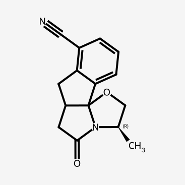 C[C@@H]1COC23c4cccc(C#N)c4CC2CC(=O)N13